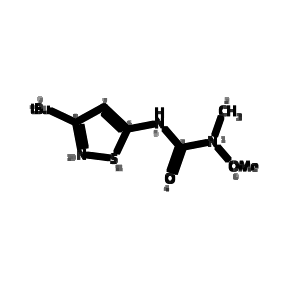 CON(C)C(=O)Nc1cc(C(C)(C)C)ns1